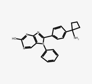 NC1(c2ccc(-c3nc4nc(O)ncc4n3-c3ccccc3)cc2)CCC1